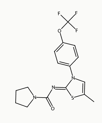 Cc1cn(-c2ccc(OC(F)(F)F)cc2)/c(=N/C(=O)N2CCCC2)s1